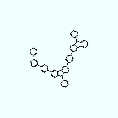 c1ccc(-c2cccc(-c3ccc(-c4ccc5c(c4)c4cc(-c6ccc(-c7ccc8c(c7)c7ccccc7n8-c7ccccc7)cc6)ccc4n5-c4ccccc4)cc3)c2)cc1